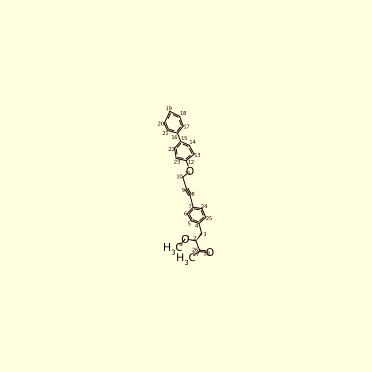 CO[C@@H](Cc1ccc(C#CCOc2ccc(-c3ccccc3)cc2)cc1)C(C)=O